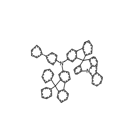 c1ccc(-c2ccc(N(c3ccc4c(c3)C(c3ccccc3)(c3ccccc3)c3ccccc3-4)c3ccc4c(c3)C3(c5ccccc5-4)c4ccccc4-n4c5ccccc5c5cccc3c54)cc2)cc1